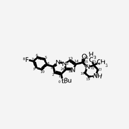 CC(C)(C)c1cc(-c2ccc(F)cc2)nn2cc(C(=O)N3CCNCC3(C)C)nc12